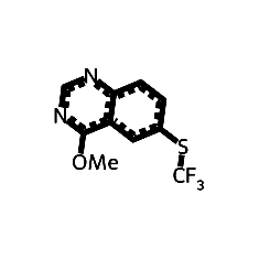 COc1ncnc2ccc(SC(F)(F)F)cc12